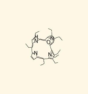 CCC1=C(CC)C2=C3OC(=c4[nH]c(cc4CC)=C(CC)C4=NC(=C(CC)c5c(CC)c(CC)c3n5CC)C=C4)C1=N2